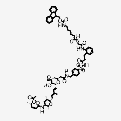 CC(=O)O[C@@H](C)/C=C\C(=O)N[C@@H]1C[C@H](C)[C@H](C/C=C(C)/C=C/[C@H]2O[C@H](CC(=O)NCc3ccc(S(=O)(=O)NC(=O)CCc4ccccc4NC(=O)CNC(=O)CCCCCNC(=O)OCC4c5ccccc5-c5ccccc54)cc3)C[C@@]3(CO3)[C@@H]2O)O[C@@H]1C